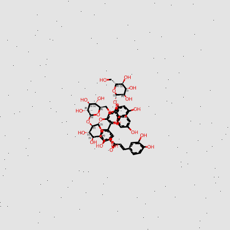 O=C(C=Cc1ccc(O)c(O)c1)OC[C@H]1O[C@@H](Oc2cc3c(O[C@@H]4O[C@H](CO)[C@@H](O)[C@H](O)[C@H]4O)cc(O)cc3[o+]c2-c2ccc(O)c(O)c2)[C@H](O[C@@H]2O[C@H](COC(=O)c3ccc(O)cc3)[C@@H](O)[C@H](O)[C@H]2O)[C@@H](O)[C@@H]1O